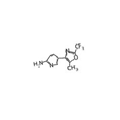 Cc1oc(C(F)(F)F)nc1-c1ccc(N)nc1